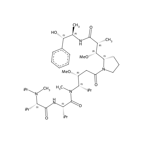 CO[C@H]([C@@H](C)C(=O)N[C@H](C)[C@@H](O)c1ccccc1)[C@@H]1CCCN1C(=O)C[C@@H](OC)[C@H](C(C)C)N(C)C(=O)[C@@H](NC(=O)[C@H](C(C)C)N(C)C(C)C)C(C)C